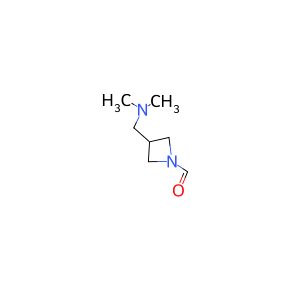 CN(C)CC1CN(C=O)C1